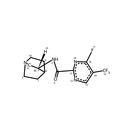 O=C(N[C@H]1CN2CCC1CC2)c1ncc(C(F)(F)F)c(F)n1